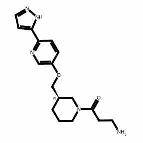 NCCC(=O)N1CCC[C@@H](COc2ccc(-c3ccn[nH]3)nc2)C1